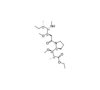 CCOC(=O)[C@H](C)[C@@H](OC)[C@@H]1CCCN1C(=O)C[C@@H](OC)[C@@H](NC)[C@@H](C)CC